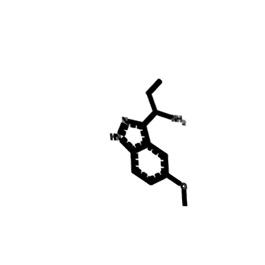 C[CH]C(N)c1n[nH]c2ccc(OC)cc12